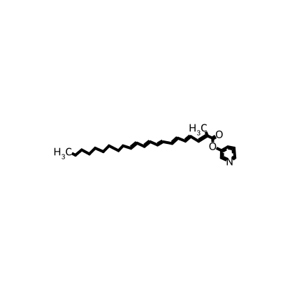 CCCCCCCCCC=CC=CC=CC=CC=CC=C(C)C(=O)Oc1cccnc1